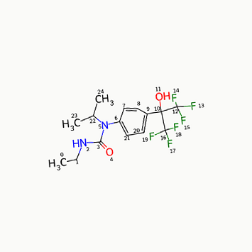 CCNC(=O)N(c1ccc(C(O)(C(F)(F)F)C(F)(F)F)cc1)C(C)C